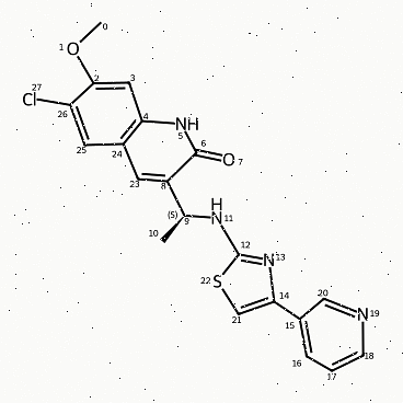 COc1cc2[nH]c(=O)c([C@H](C)Nc3nc(-c4cccnc4)cs3)cc2cc1Cl